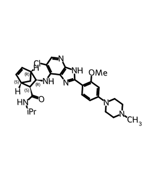 COc1cc(N2CCN(C)CC2)ccc1-c1nc2c(N[C@H]3[C@@H](C(=O)NC(C)C)[C@@H]4C=C[C@H]3C4)c(Cl)cnc2[nH]1